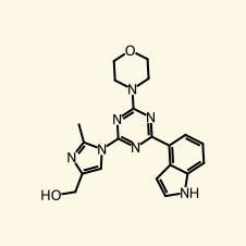 Cc1nc(CO)cn1-c1nc(-c2cccc3[nH]ccc23)nc(N2CCOCC2)n1